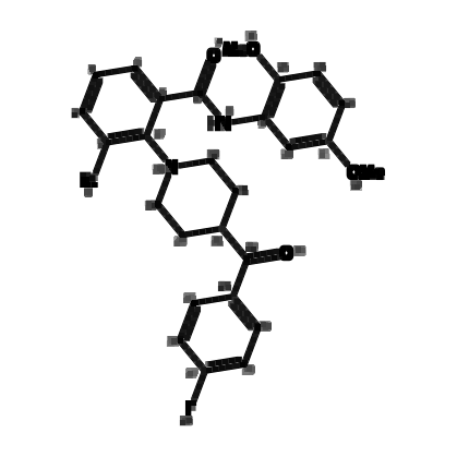 CCc1cccc(C(=O)Nc2cc(OC)ccc2OC)c1N1CCC(C(=O)c2ccc(F)cc2)CC1